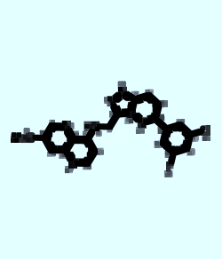 COc1cnc2c(NCc3nnc4ccc(-c5cc(F)cc(Cl)c5)nn34)ccnc2c1